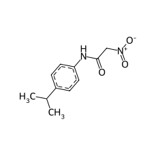 CC(C)c1ccc(NC(=O)C[N+](=O)[O-])cc1